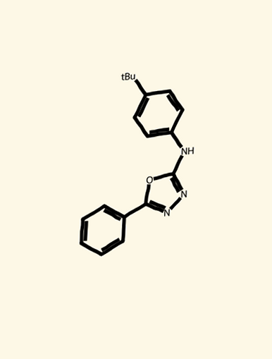 CC(C)(C)c1ccc(Nc2nnc(-c3ccccc3)o2)cc1